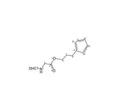 O=CNCC(=O)OCCCc1ccccc1